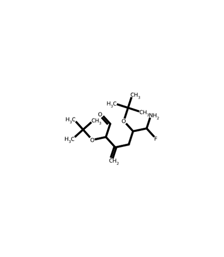 C=C(CC(OC(C)(C)C)C(N)F)C(C=O)OC(C)(C)C